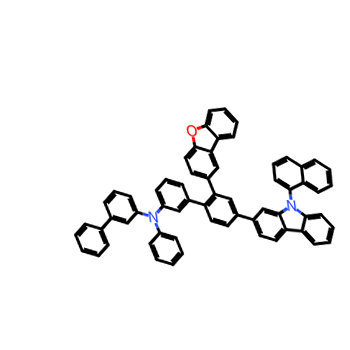 c1ccc(-c2cccc(N(c3ccccc3)c3cccc(-c4ccc(-c5ccc6c7ccccc7n(-c7cccc8ccccc78)c6c5)cc4-c4ccc5oc6ccccc6c5c4)c3)c2)cc1